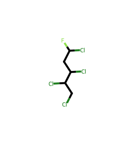 FC(Cl)CC(Cl)C(Cl)CCl